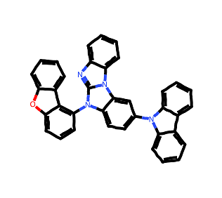 c1ccc2c(c1)nc1n(-c3cccc4oc5ccccc5c34)c3ccc(-n4c5ccccc5c5ccccc54)cc3n21